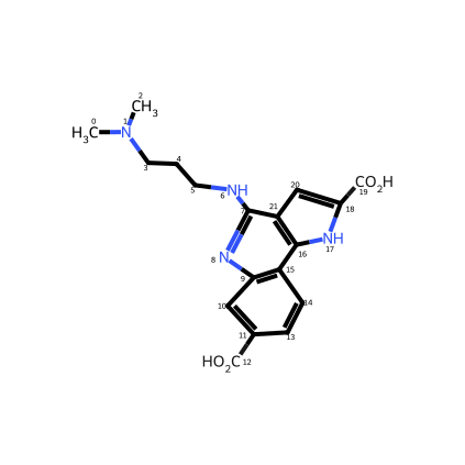 CN(C)CCCNc1nc2cc(C(=O)O)ccc2c2[nH]c(C(=O)O)cc12